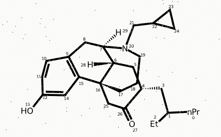 CCCC(CC)C[C@H]1C[C@H]2[C@H]3Cc4ccc(O)cc4[C@@]2(CCCN3CC2CC2)CC1=O